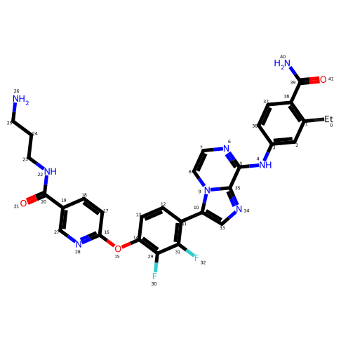 CCc1cc(Nc2nccn3c(-c4ccc(Oc5ccc(C(=O)NCCCN)cn5)c(F)c4F)cnc23)ccc1C(N)=O